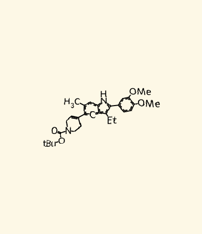 CCc1c(-c2ccc(OC)c(OC)c2)[nH]c2cc(C)c(C3=CCN(C(=O)OC(C)(C)C)CC3)cc12